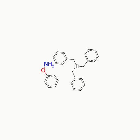 NOc1ccccc1.c1ccc([CH2][Ti]([CH2]c2ccccc2)[CH2]c2ccccc2)cc1